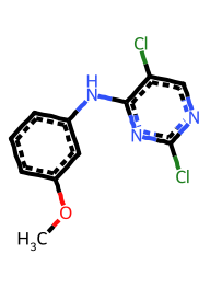 COc1cccc(Nc2nc(Cl)ncc2Cl)c1